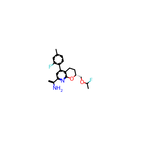 C=C(N)c1cc(-c2ccc(C)cc2F)c2c(n1)O[C@@H](COC(C)F)CC2